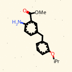 COC(=O)c1cc(Cc2cccc(OC(C)C)c2)ccc1N